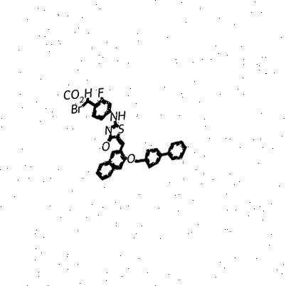 O=C1N=C(Nc2ccc(C(Br)C(=O)O)c(F)c2)SC1=Cc1cc2ccccc2cc1OCc1ccc(-c2ccccc2)cc1